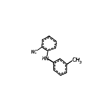 Cc1cccc(Nc2ccccc2C#N)c1